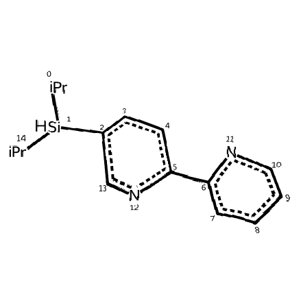 CC(C)[SiH](c1ccc(-c2ccccn2)nc1)C(C)C